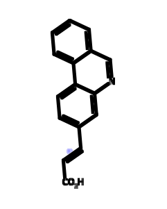 O=C(O)/C=C/c1ccc2c(c1)ncc1ccccc12